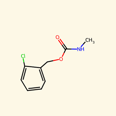 CNC(=O)OCc1ccccc1Cl